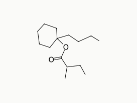 CCCCC1(OC(=O)C(C)CC)CCCCC1